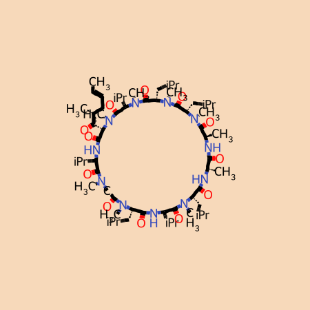 C/C=C/C[C@@H](C)C(=O)[C@H]1C(=O)NC(C(C)C)C(=O)N(C)CC(=O)N(C)[C@@H](CC(C)C)C(=O)NC(C(C)C)C(=O)N(C)[C@@H](CC(C)C)C(=O)N[C@@H](C)C(=O)N[C@H](C)C(=O)N(C)[C@@H](CC(C)C)C(=O)N(C)[C@@H](CC(C)C)C(=O)N(C)C(C(C)C)C(=O)N1C